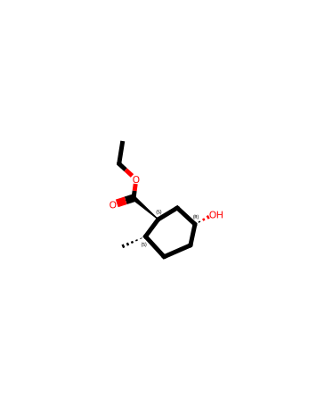 CCOC(=O)[C@H]1C[C@H](O)CC[C@@H]1C